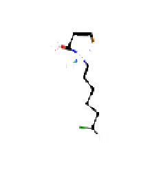 CCC(Cl)CCCCC[N+]1(Cl)SC=CC1=O